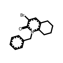 O=c1c(Br)cc2c(n1Cc1ccccc1)CCCC2